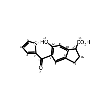 O=C(c1cccs1)c1cc2c(cc1O)C(C(=O)O)CC2